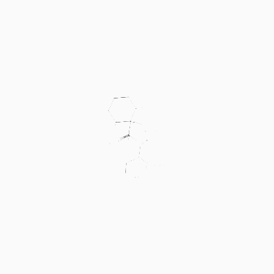 CCCCCCCCCCCC(CCCCC)OC(=O)C1(C(=O)O)CCCCC1